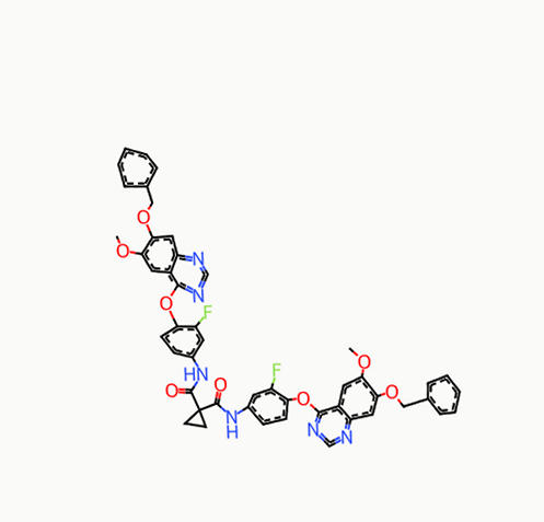 COc1cc2c(Oc3ccc(NC(=O)C4(C(=O)Nc5ccc(Oc6ncnc7cc(OCc8ccccc8)c(OC)cc67)c(F)c5)CC4)cc3F)ncnc2cc1OCc1ccccc1